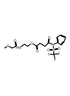 CSCC(=O)NCCOC(=O)CCC(=O)N(c1ccccc1)S(=O)(=O)C(F)(F)F